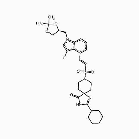 CC1(C)OC[C@H](Cn2cc(F)c3c(/C=C/S(=O)(=O)N4CCC5(CC4)N=C(C4CCCCC4)NC5=O)cccc32)O1